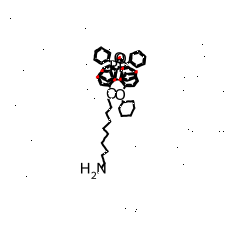 NCCCCCCCCCCOc1cccc(P(=O)(c2ccccc2)c2ccccc2)c1-c1c(OC2CCCCC2)cccc1P(=O)(c1ccccc1)c1ccccc1